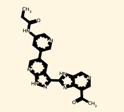 CCC(=O)Nc1cncc(-c2cnc3[nH]nc(-c4nc5c(C(C)=O)cncc5[nH]4)c3c2)c1